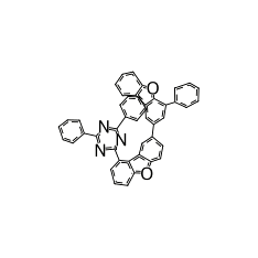 c1ccc(-c2nc(-c3ccccc3)nc(-c3cccc4oc5ccc(-c6cc(-c7ccccc7)c7oc8ccccc8c7c6)cc5c34)n2)cc1